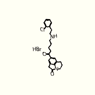 Br.O=C(CCCCNCCc1ccccc1Cl)c1cc2c3c(c1)CC(=O)N3CCC2